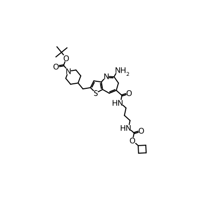 CC(C)(C)OC(=O)N1CCC(Cc2cc3c(s2)C=C(C(=O)NCCCNC(=O)OC2CCC2)CC(N)=N3)CC1